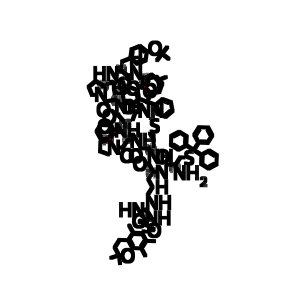 CSCC[C@H](NC(=O)[C@H](CCCNC(=N)NS(=O)(=O)c1c(C)c(C)c2c(c1C)CCC(C)(C)O2)NC(=O)[C@@H](N)CSC(c1ccccc1)(c1ccccc1)c1ccccc1)C(=O)N[C@@H](Cc1ccccc1)C(=O)N1CCC[C@H]1C(=O)N[C@@H](CC(=O)NC(c1ccccc1)(c1ccccc1)c1ccccc1)C(=O)N[C@@H](C)C(=O)N1CCC[C@H]1C(=O)N[C@@H](Cc1ccc(OC(C)(C)C)cc1)C(=O)N[C@@H](CC(C)C)C(=O)O